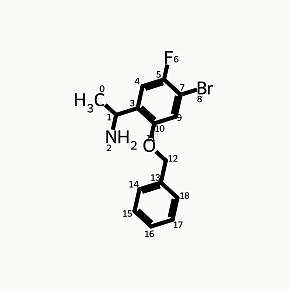 CC(N)c1cc(F)c(Br)cc1OCc1ccccc1